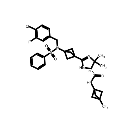 CC1(C)N=C(C23CC(N(Cc4ccc(Cl)c(F)c4)S(=O)(=O)c4ccccc4)(C2)C3)N[C@H]1C(=O)NC12CC(C(F)(F)F)(C1)C2